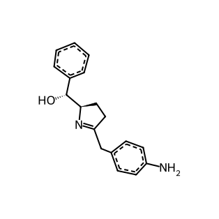 Nc1ccc(CC2=N[C@@H]([C@H](O)c3ccccc3)CC2)cc1